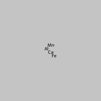 [Al].[Ca].[Fe].[Mn]